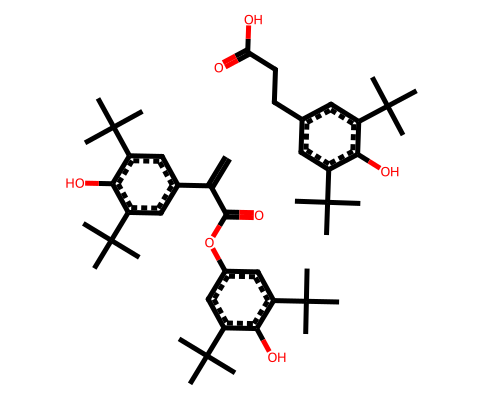 C=C(C(=O)Oc1cc(C(C)(C)C)c(O)c(C(C)(C)C)c1)c1cc(C(C)(C)C)c(O)c(C(C)(C)C)c1.CC(C)(C)c1cc(CCC(=O)O)cc(C(C)(C)C)c1O